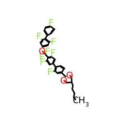 CCCCCC1COC(c2ccc(-c3cc(F)c(C(F)(F)Oc4cc(F)c(-c5ccc(F)cc5)c(F)c4)c(F)c3)c(F)c2)OC1